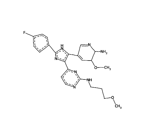 COCCCNc1nccc(-c2nc(-c3ccc(F)cc3)[nH]c2C2=CC(OC)C(N)N=C2)n1